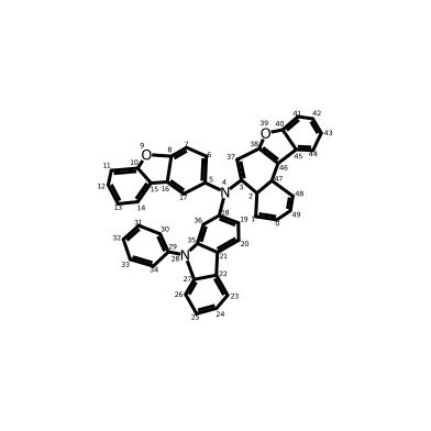 C1=CC2C(N(c3ccc4oc5ccccc5c4c3)c3ccc4c5ccccc5n(-c5ccccc5)c4c3)=Cc3oc4ccccc4c3C2C=C1